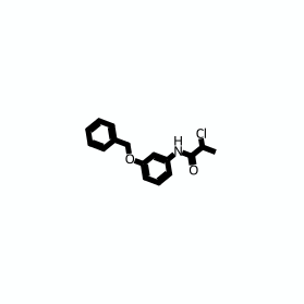 CC(Cl)C(=O)Nc1cccc(OCc2ccccc2)c1